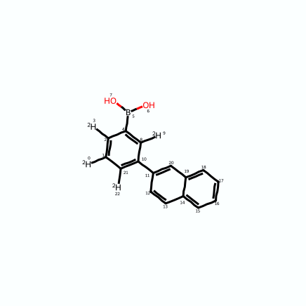 [2H]c1c([2H])c(B(O)O)c([2H])c(-c2ccc3ccccc3c2)c1[2H]